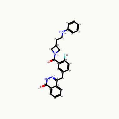 O=C(c1cc(Cc2n[nH]c(=O)c3ccccc23)ccc1F)N1CC(CCNc2ccccc2)C1